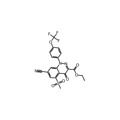 CCOC(=O)c1nn(-c2ccc(OC(F)(F)F)cc2)c2cc(C#N)cc(S(C)(=O)=O)c2c1=O